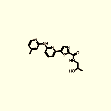 Cc1ccnc(Nc2cccc(-c3cnc(C(=O)NCC(C)O)s3)n2)c1